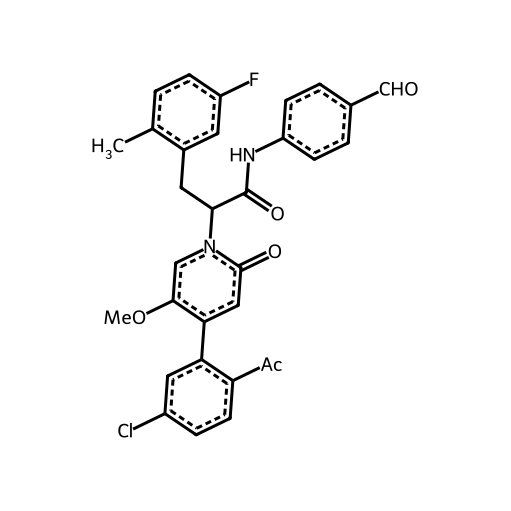 COc1cn(C(Cc2cc(F)ccc2C)C(=O)Nc2ccc(C=O)cc2)c(=O)cc1-c1cc(Cl)ccc1C(C)=O